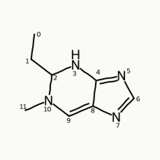 CCC1NC2=NC=NC2=CN1C